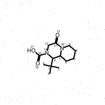 CC(C)(C)C1C2CCCCN2C(=O)CN1C(=O)O